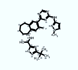 Cn1ccc(Nc2ncnc(-c3cc4c(cc3F)[C@H](NC(O)c3nc(C(C)(C)C)no3)CCCC4)n2)n1